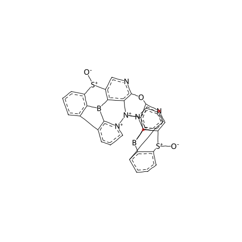 [O-][S+]1c2cccc3c2B2c4c1cnc1c4[N+]4(c5c(ncc6c5B5c7c(cccc7[S+]6[O-])-c6ccc[n+]4c65)O1)[n+]1cccc-3c12